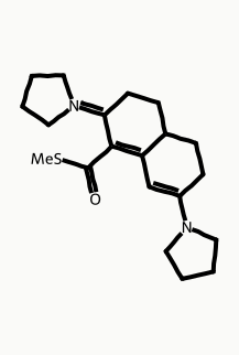 CSC(=O)C1=C2C=C(N3CCCC3)CCC2CCC1=[N+]1CCCC1